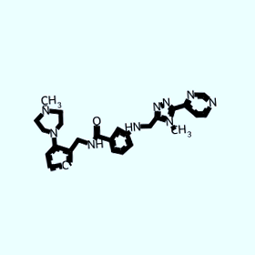 CN1CCN(c2ccccc2CNC(=O)c2cccc(NCc3nnc(-c4ccncn4)n3C)c2)CC1